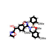 COc1ccc(CN(c2noc3cc(C(O)c4ncco4)cc(OC)c23)[S+]([O-])c2c(OC)cccc2OC)c(OC)c1